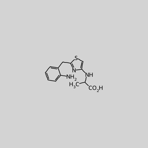 CC(Nc1csc(Cc2ccccc2N)n1)C(=O)O